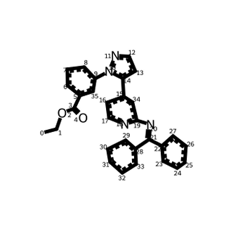 CCOC(=O)c1cccc(-n2nccc2-c2ccnc(N=C(c3ccccc3)c3ccccc3)c2)c1